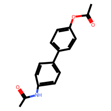 CC(=O)Nc1ccc(-c2ccc(OC(C)=O)cc2)cc1